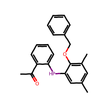 CC(=O)c1ccccc1Pc1cc(C)cc(C)c1OCc1ccccc1